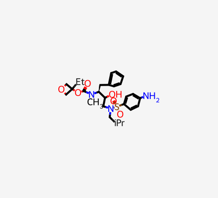 CCC1(OC(=O)N(C)[C@@H](Cc2ccccc2)C(O)CN(CC(C)C)S(=O)(=O)c2ccc(N)cc2)COC1